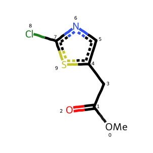 COC(=O)Cc1cnc(Cl)s1